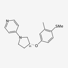 CSc1ccc(O[C@@H]2CCN(c3ccncc3)C2)cc1C